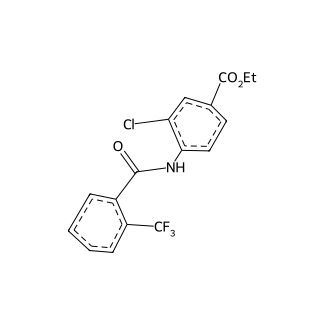 CCOC(=O)c1ccc(NC(=O)c2ccccc2C(F)(F)F)c(Cl)c1